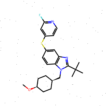 CO[C@H]1CC[C@@H](Cn2c(C(C)(C)C)nc3cc(Sc4ccnc(F)c4)ccc32)CC1